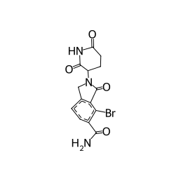 NC(=O)c1ccc2c(c1Br)C(=O)N(C1CCC(=O)NC1=O)C2